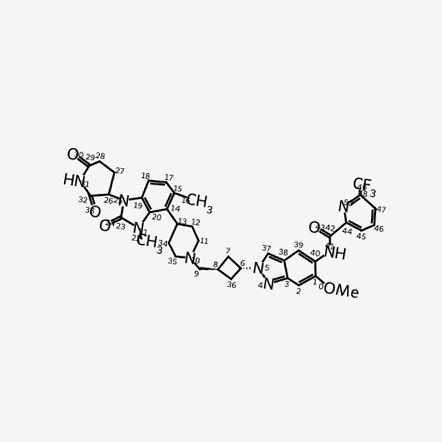 COc1cc2nn([C@H]3C[C@H](CN4CCC(c5c(C)ccc6c5n(C)c(=O)n6C5CCC(=O)NC5=O)CC4)C3)cc2cc1NC(=O)c1cccc(C(F)(F)F)n1